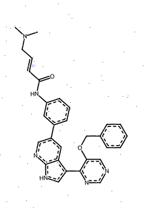 CN(C)C/C=C/C(=O)Nc1cccc(-c2cnc3[nH]cc(-c4ncncc4OCc4ccccc4)c3c2)c1